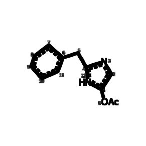 CC(=O)Oc1cnc(Cc2ccccc2)[nH]1